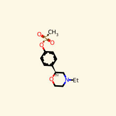 CCN1CCO[C@@H](c2ccc(OS(C)(=O)=O)cc2)C1